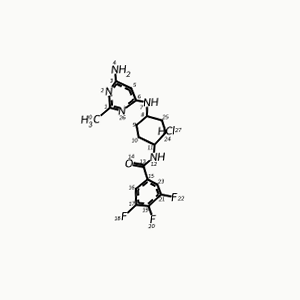 Cc1nc(N)cc(NC2CCC(NC(=O)c3cc(F)c(F)c(F)c3)CC2)n1.Cl